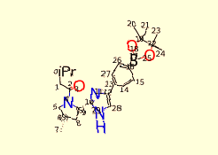 CC(C)CC(=O)N1C[C@@H](C)C[C@H]1c1nc(-c2ccc(B3OC(C)(C)C(C)(C)O3)cc2)c[nH]1